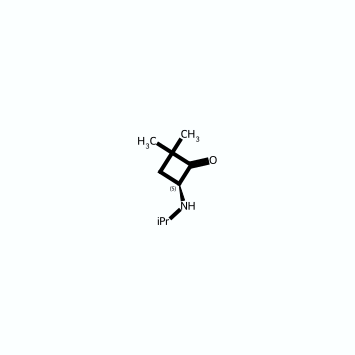 CC(C)N[C@H]1CC(C)(C)C1=O